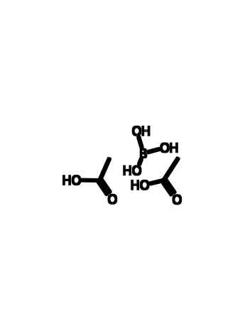 CC(=O)O.CC(=O)O.OB(O)O